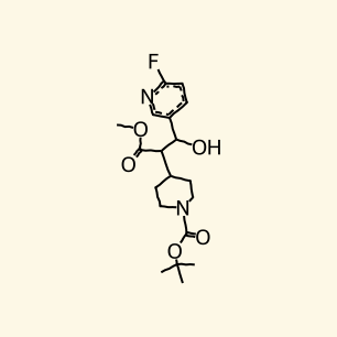 COC(=O)C(C1CCN(C(=O)OC(C)(C)C)CC1)C(O)c1ccc(F)nc1